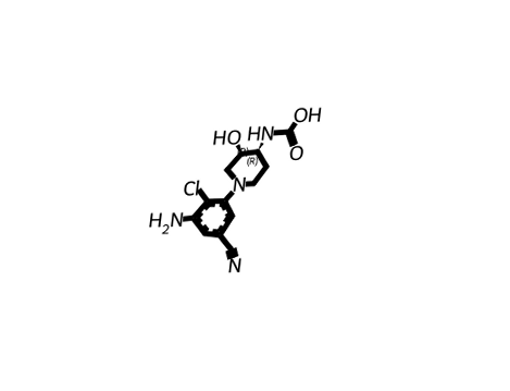 N#Cc1cc(N)c(Cl)c(N2CC[C@@H](NC(=O)O)[C@H](O)C2)c1